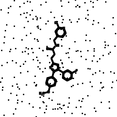 COc1ccc(-n2nc(CCC(=O)NCc3ccnc(Cl)c3)cc2-c2cccc(F)c2)cc1